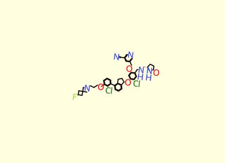 N#Cc1cncc(COc2cc(O[C@H]3CCc4c(-c5cccc(OCCCN6CC7(CC(F)C7)C6)c5Cl)cccc43)c(Cl)cc2CNC[C@@H]2CCC(=O)N2)c1